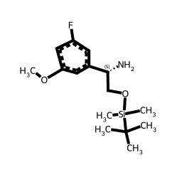 COc1cc(F)cc([C@H](N)CO[Si](C)(C)C(C)(C)C)c1